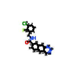 O=C(NCc1cccc(Cl)c1F)c1ccc2cc3cnnnc3cc2c1